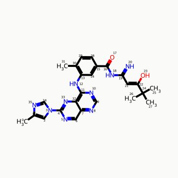 Cc1cn(-c2ncc3ncnc(Nc4cc(C(=O)NC(=N)/C=C(\O)C(C)(C)C)ccc4C)c3n2)cn1